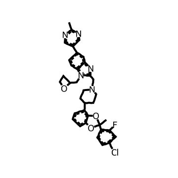 Cc1ncc(-c2ccc3c(c2)nc(CN2CCC(c4cccc5c4OC(C)(c4ccc(Cl)cc4F)O5)CC2)n3CC2CCO2)cn1